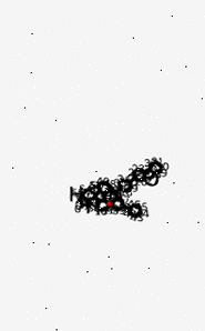 C[C@H]1C[C@@H]2C[C@H](C1)C1(c3ccccc3-c3c(N(c4ccc(-c5ccc6c(c5)oc5ccccc56)cc4)c4cccc(-c5ccccc5)c4)cccc31)[C@H](C)C2